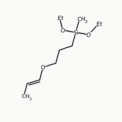 CC=COCCC[Si](C)(OCC)OCC